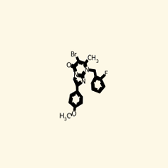 COc1ccc(-c2cn3c(=O)c(Br)c(C)n(Cc4ccccc4F)c3n2)cc1